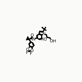 CC(C)(C)c1cc2cc(NC(=O)C3(c4ccc5c(c4)OC(F)(F)O5)CC3)ccc2n1C[C@H](O)CO